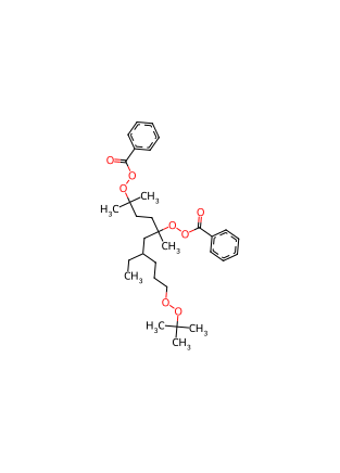 CCC(CCCOOC(C)(C)C)CC(C)(CCC(C)(C)OOC(=O)c1ccccc1)OOC(=O)c1ccccc1